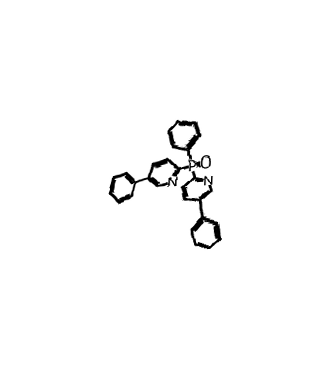 O=P(c1ccccc1)(c1ccc(-c2ccccc2)cn1)c1ccc(-c2ccccc2)cn1